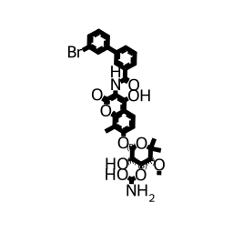 CO[C@@H]1[C@@H](OC(N)O)[C@@H](O)[C@H](Oc2ccc3c(O)c(NC(=O)c4cccc(-c5cccc(Br)c5)c4)c(=O)oc3c2C)OC1(C)C